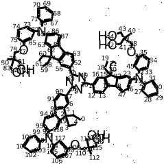 CCC1(CC)c2cc(-c3nc(-c4ccc5c(c4)C(CC)(CC)c4cc(N(c6ccccc6)c6cccc(OCC(C)(CO)CO)c6)ccc4-5)nc(-c4ccc5c(c4)C(CC)(CC)c4cc(N(c6ccccc6)c6cccc(OCC(C)(CO)CO)c6)ccc4-5)n3)ccc2-c2ccc(N(c3ccccc3)c3cccc(OCC(C)(CO)CO)c3)cc21